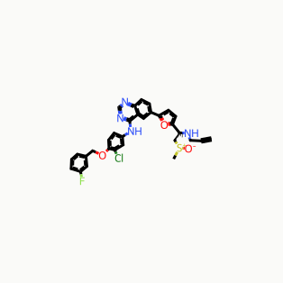 C#CCN[C@@H](C[S+](C)[O-])c1ccc(-c2ccc3ncnc(Nc4ccc(OCc5cccc(F)c5)c(Cl)c4)c3c2)o1